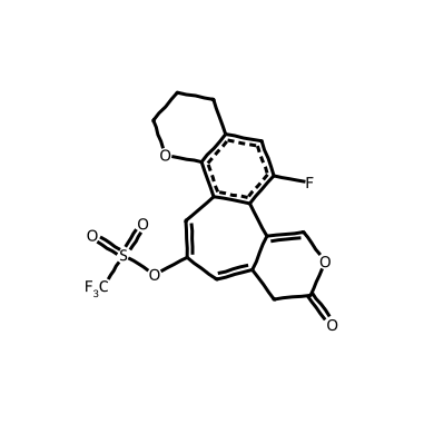 O=C1CC2=CC(OS(=O)(=O)C(F)(F)F)=Cc3c4c(cc(F)c3C2=CO1)CCCO4